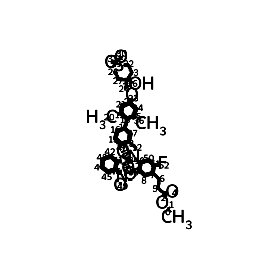 CCOC(=O)CCc1ccc(N(Cc2cccc(-c3c(C)cc(OCC4(O)CCS(=O)(=O)CC4)cc3C)c2)S(=O)(=O)c2ccccc2[N+](=O)[O-])cc1F